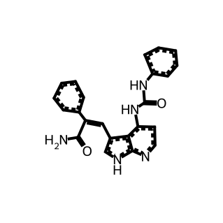 NC(=O)C(=Cc1c[nH]c2nccc(NC(=O)Nc3ccccc3)c12)c1ccccc1